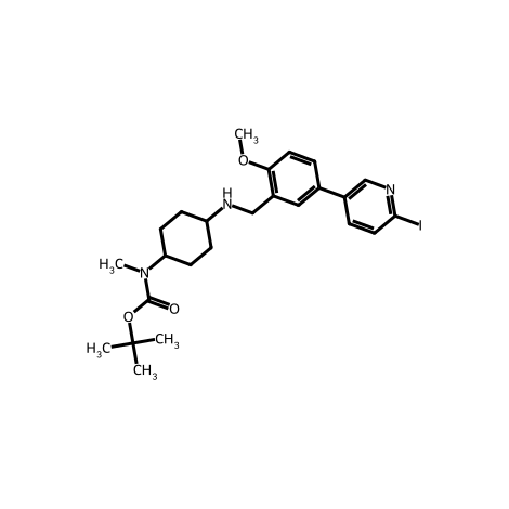 COc1ccc(-c2ccc(I)nc2)cc1CNC1CCC(N(C)C(=O)OC(C)(C)C)CC1